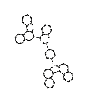 c1ccc2c(c1)cc(-c1nc(-c3ccc(-n4c5ccc6ccccc6c5c5c6ccccc6ccc54)cc3)nc3ccccc13)c1oc3ccccc3c12